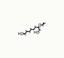 C=COC(CO)CCCCCCO